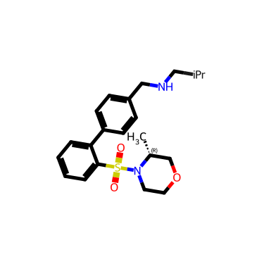 CC(C)CNCc1ccc(-c2ccccc2S(=O)(=O)N2CCOC[C@H]2C)cc1